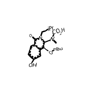 CCCCOc1c(N(C)C(=O)O)n(CC(C)C)c(=O)c2ccc(O)cc12